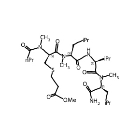 CCCC(=O)N(C)[C@H](CSCCC(=O)OC)C(=O)N(C)[C@@H](CC(C)C)C(=O)N[C@H](C(=O)N(C)[C@@H](CC(C)C)C(N)=O)C(C)C